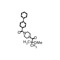 COC(C)(C)C(=O)N1CCN(C(=O)c2ccc(-c3ccccc3)cc2)CC1